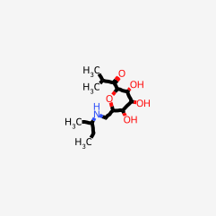 CCC(C)NCC1OC(C(=O)C(C)C)C(O)C(O)C1O